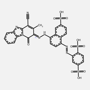 CC1=C(C#N)c2nc3ccccc3n2C(=O)/C1=N/Nc1ccc(N=Nc2cc(S(=O)(=O)O)ccc2S(=O)(=O)O)c2ccc(S(=O)(=O)O)cc12